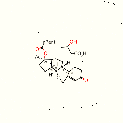 CCCCCC(=O)O[C@]1(C(C)=O)CC[C@H]2[C@@H]3CCC4=CC(=O)CC[C@]4(C)[C@H]3CC[C@@]21C.[CH2]C(O)CC(=O)O